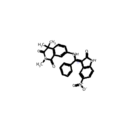 CN1C(=O)c2cc(N/C(=C3\C(=O)Nc4ccc([N+](=O)[O-])cc43)c3ccccc3)ccc2C(C)(C)C1=O